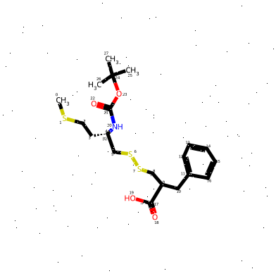 CSCC[C@@H](CSSCC(Cc1ccccc1)C(=O)O)NC(=O)OC(C)(C)C